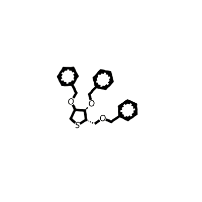 c1ccc(COC[C@@H]2SCC(OCc3ccccc3)[C@@H]2OCc2ccccc2)cc1